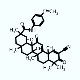 COc1ccc(NC(=O)C2(C)CCC3(C)CCC4(C)C5(C)CCC6C(C)(C)C(=O)C(C#N)=CC6(C)C5=CC(=O)C4(O)C3C2)cc1